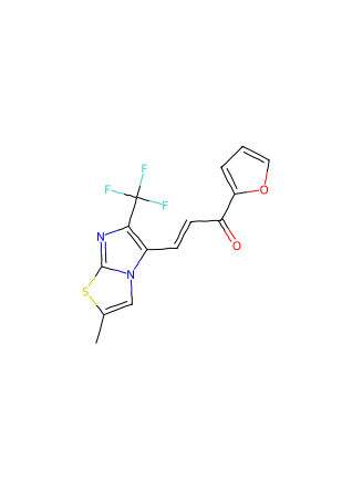 Cc1cn2c(/C=C/C(=O)c3ccco3)c(C(F)(F)F)nc2s1